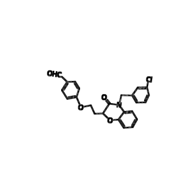 O=Cc1ccc(OCCC2Oc3ccccc3N(Cc3cccc(Cl)c3)C2=O)cc1